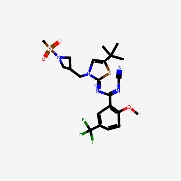 COc1ccc(C(F)(F)F)cc1C(=NC#N)/N=c1\sc(C(C)(C)C)cn1CC1CN(S(C)(=O)=O)C1